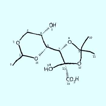 CC1OC[C@H](O)[C@H]([C@@H]2OC(C)(C)O[C@]2(O)C(=O)O)O1